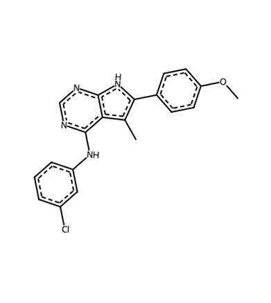 COc1ccc(-c2[nH]c3ncnc(Nc4cccc(Cl)c4)c3c2C)cc1